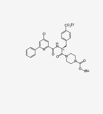 CCOC(=O)c1ccc(C[C@H](NC(=O)c2cc(Cl)cc(-c3ccccc3)n2)C(=O)N2CCN(C(=O)OC(C)(C)C)CC2)cc1